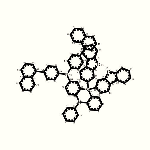 c1ccc(N2c3ccccc3[Si](c3ccc4c(c3)oc3ccccc34)(c3ccc4c(c3)oc3ccccc34)c3cc(N(c4ccc(-c5cccc6ccccc56)cc4)c4ccc(-c5cccc6ccccc56)cc4)ccc32)cc1